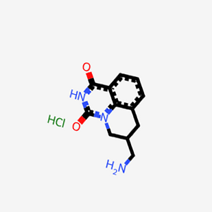 Cl.NCC1Cc2cccc3c(=O)[nH]c(=O)n(c23)C1